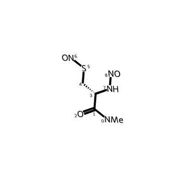 CNC(=O)[C@H](CSN=O)NN=O